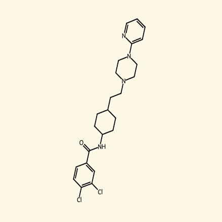 O=C(NC1CCC(CCN2CCN(c3ccccn3)CC2)CC1)c1ccc(Cl)c(Cl)c1